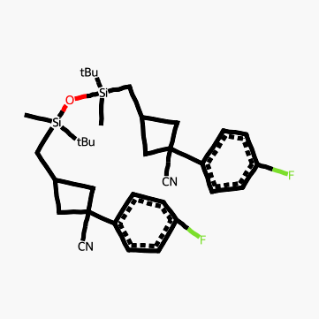 CC(C)(C)[Si](C)(CC1CC(C#N)(c2ccc(F)cc2)C1)O[Si](C)(CC1CC(C#N)(c2ccc(F)cc2)C1)C(C)(C)C